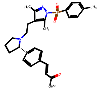 COC(=O)C=Cc1ccc([C@@H]2CCCN2CCc2c(C)nn(S(=O)(=O)c3ccc(C)cc3)c2C)cc1